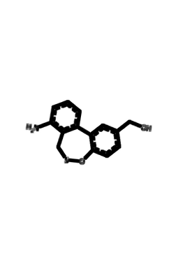 Nc1cccc2c1CSOc1ccc(CO)cc1-2